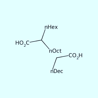 CCCCCCCCC(CCCCCC)C(=O)O.CCCCCCCCCCCC(=O)O